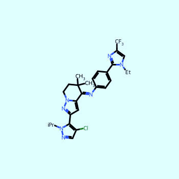 CCn1cc(C(F)(F)F)nc1-c1ccc(/N=C2/c3cc(-c4c(Cl)cnn4C(C)C)nn3CCC2(C)C)cc1